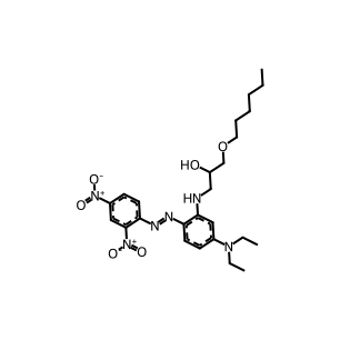 CCCCCCOCC(O)CNc1cc(N(CC)CC)ccc1/N=N/c1ccc([N+](=O)[O-])cc1[N+](=O)[O-]